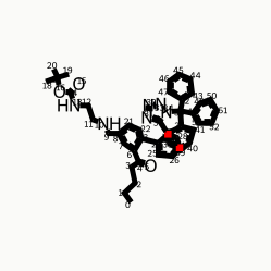 CCCCC(=O)c1cc(CNCCNC(=O)OC(C)(C)C)ccc1-c1ccccc1-c1nnnn1C(c1ccccc1)(c1ccccc1)c1ccccc1